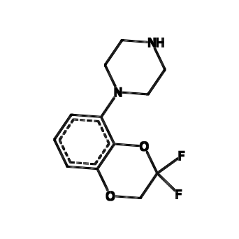 FC1(F)COc2cccc(N3CCNCC3)c2O1